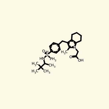 Cc1c(Cc2ccc([SH](=O)(P)NC(C)C(C)(C)C)cc2)c2c(n1CC(=O)O)CCCC2